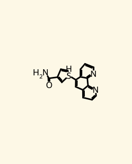 NC(=O)C1=C[SH](c2cc3cccnc3c3ncccc23)C=C1